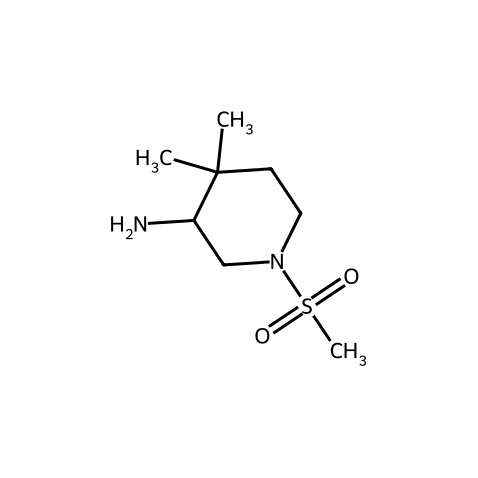 CC1(C)CCN(S(C)(=O)=O)CC1N